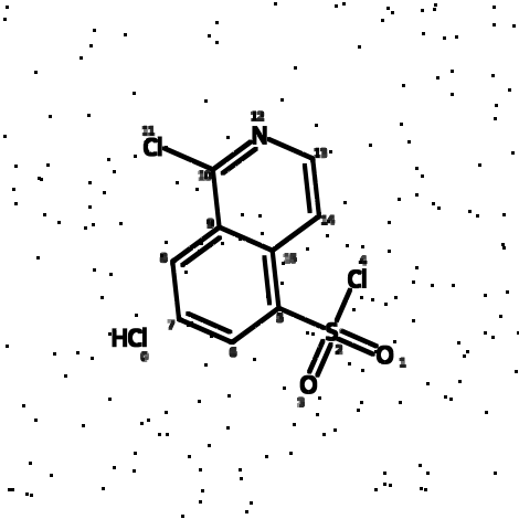 Cl.O=S(=O)(Cl)c1cccc2c(Cl)nccc12